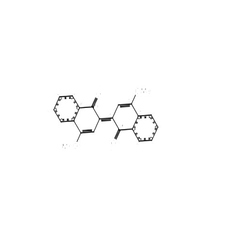 COC1=CC(=C2C=C(OC)c3ccccc3C2=O)C(=O)c2ccccc21